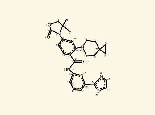 CC1(C)COC(=O)N1c1ccc(C(=O)Nc2cccc(-c3ncco3)n2)c(N2CCC3(CC2)CC3)n1